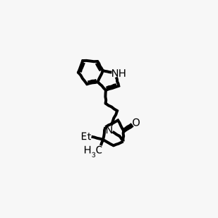 CCC1(C)CC2CN(CCc3c[nH]c4ccccc34)C1CC2=O